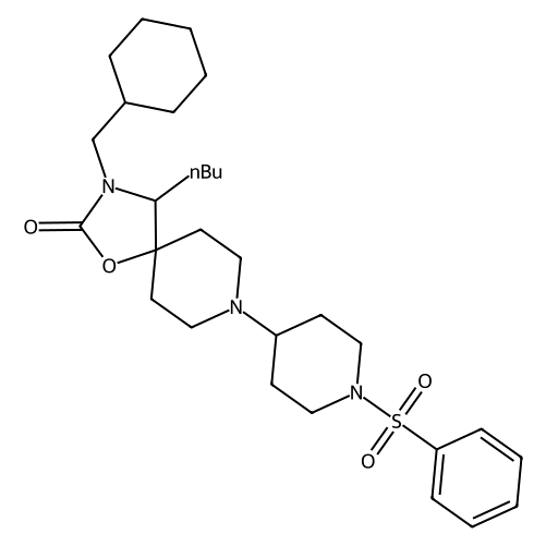 CCCCC1N(CC2CCCCC2)C(=O)OC12CCN(C1CCN(S(=O)(=O)c3ccccc3)CC1)CC2